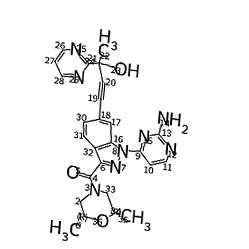 C[C@@H]1CN(C(=O)c2nn(-c3ccnc(N)n3)c3cc(C#CC(C)(O)c4ncccn4)ccc23)C[C@@H](C)O1